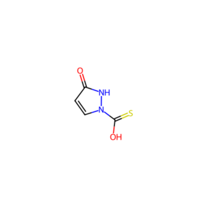 O=c1ccn(C(O)=S)[nH]1